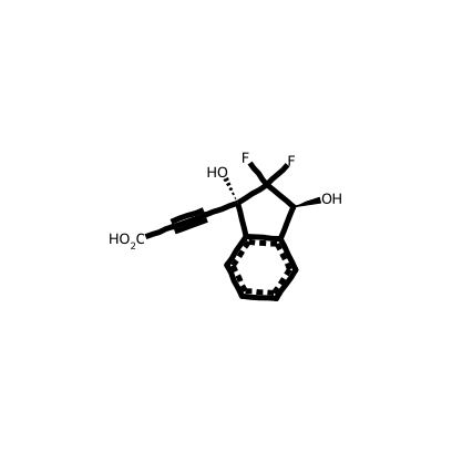 O=C(O)C#C[C@]1(O)c2ccccc2[C@H](O)C1(F)F